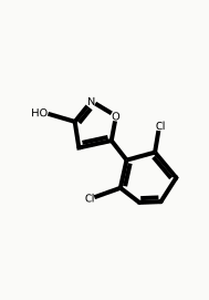 Oc1cc(-c2c(Cl)cccc2Cl)on1